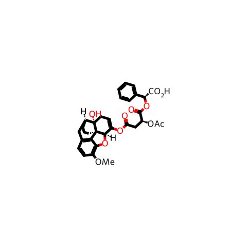 COc1ccc2c3c1O[C@@H]1C(OC(=O)C[C@H](OC(C)=O)C(=O)O[C@H](C(=O)O)c4ccccc4)=CC[C@]4(O)[C@@H](CCC[C@@]314)C2